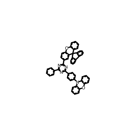 c1ccc(-c2nc(-c3ccc(N4c5ccccc5Oc5ccccc54)cc3)nc(-c3ccc4c(c3)C3(c5ccccc5O4)c4ccccc4-c4ccccc43)n2)cc1